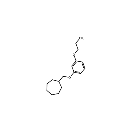 CCCOc1cccc(OCC2CCCCCC2)c1